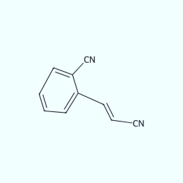 N#CC=Cc1ccccc1C#N